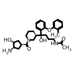 CC(=O)NCCC[C@@](O)(c1ccccc1Oc1ccccc1C)[C@@H]1CCCN(C(=O)[C@H]2C[C@@H](N)[C@@H](O)C2)C1